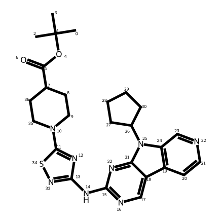 CC(C)(C)OC(=O)C1CCN(c2nc(Nc3ncc4c5ccncc5n(C5CCCC5)c4n3)ns2)CC1